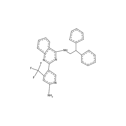 Nc1cc(C(F)(F)F)c(-c2nc(NCC(c3ccccc3)c3ccccc3)c3ccccc3n2)cn1